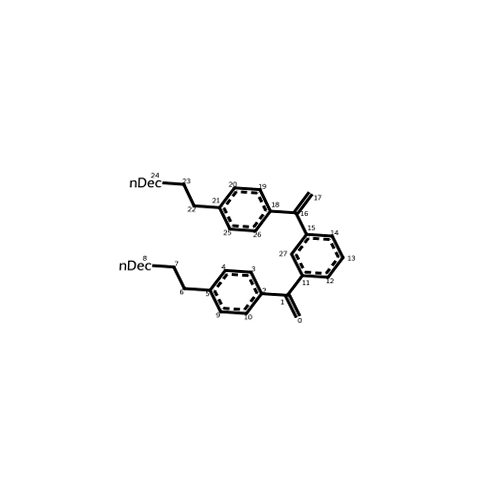 C=C(c1ccc(CCCCCCCCCCCC)cc1)c1cccc(C(=C)c2ccc(CCCCCCCCCCCC)cc2)c1